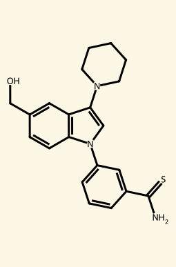 NC(=S)c1cccc(-n2cc(N3CCCCC3)c3cc(CO)ccc32)c1